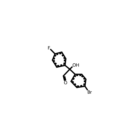 O=CC(O)(c1ccc(F)cc1)c1ccc(Br)cc1